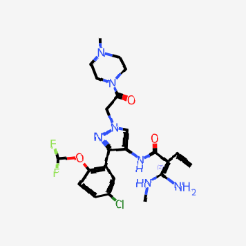 C=C/C(C(=O)Nc1cn(CC(=O)N2CCN(C)CC2)nc1-c1cc(Cl)ccc1OC(F)F)=C(\N)NC